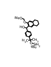 COCOc1cc2c(cc1C(O)c1ccc(C(C)(C)O[SiH2]C(C)(C)C)cc1)CCCC2